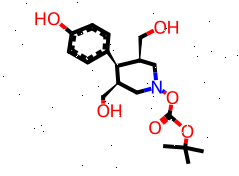 CC(C)(C)OC(=O)ON1C[C@@H](CO)[C@@H](c2ccc(O)cc2)[C@@H](CO)C1